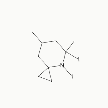 CC1CC(C)(I)N(I)C2(CC2)C1